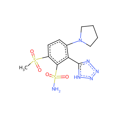 CS(=O)(=O)c1ccc(N2CCCC2)c(-c2nnn[nH]2)c1S(N)(=O)=O